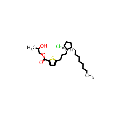 CCCCCCCC[C@H]1CC[C@@H](Cl)[C@@H]1CCCc1ccc(C(=O)OCC(C)O)s1